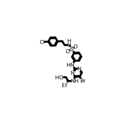 CC[C@H](CO)Nc1nc(Nc2cccc(S(=O)(=O)NCCc3ccc(Cl)cc3)c2)ncc1Br